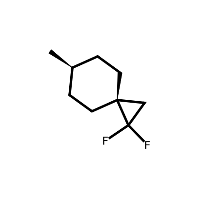 C[C@H]1CC[C@@]2(CC1)CC2(F)F